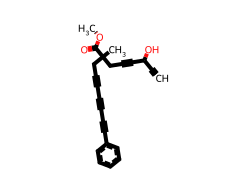 C#CC(O)C#CCC(C)(CC#CC#CC#Cc1ccccc1)C(=O)OC